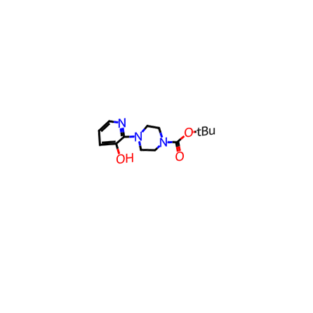 CC(C)(C)OC(=O)N1CCN(c2ncccc2O)CC1